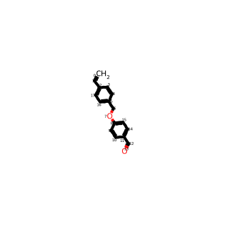 C=Cc1ccc(COc2ccc(C=O)cc2)cc1